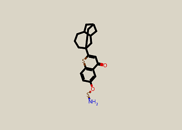 NSOc1ccc2sc(C34CCCC5CC(CC5C3)C4)cc(=O)c2c1